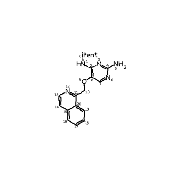 CCCC(C)Nc1nc(N)ncc1OCc1nccc2ccccc12